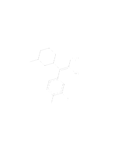 CCC/C(C(=O)O)=C(\c1ccc(F)c(F)c1)C1CCCC(C)C1